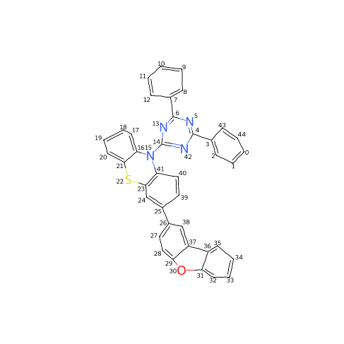 c1ccc(-c2nc(-c3ccccc3)nc(N3c4ccccc4Sc4cc(-c5ccc6oc7ccccc7c6c5)ccc43)n2)cc1